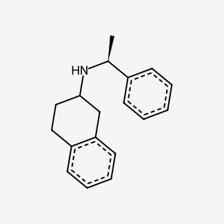 C[C@H](NC1CCc2ccccc2C1)c1ccccc1